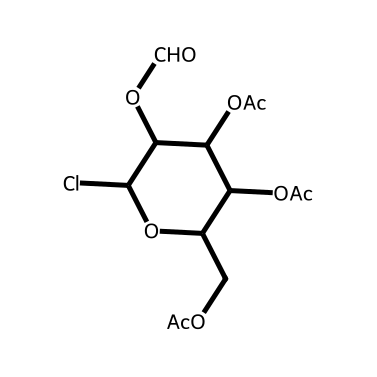 CC(=O)OCC1OC(Cl)C(OC=O)C(OC(C)=O)C1OC(C)=O